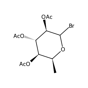 CC(=O)O[C@H]1[C@H](OC(C)=O)[C@@H](OC(C)=O)C(Br)O[C@H]1C